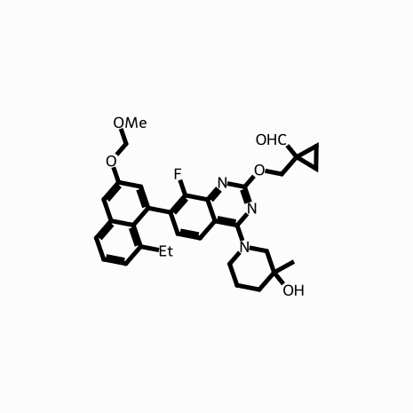 CCc1cccc2cc(OCOC)cc(-c3ccc4c(N5CCCC(C)(O)C5)nc(OCC5(C=O)CC5)nc4c3F)c12